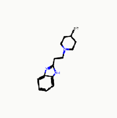 CCCC1CCN(CCc2nc3ccccc3[nH]2)CC1